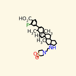 CC1C(c2ccc(C(=O)O)c(F)c2)=CCC2(C)C1CCC1(C)C2CCC2C3CCCC3(NCCN3CCS(=O)(=O)CC3)CC[C@]21C